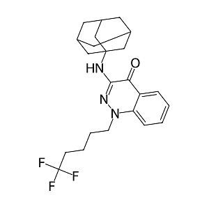 O=c1c(NC23CC4CC(CC(C4)C2)C3)nn(CCCCC(F)(F)F)c2ccccc12